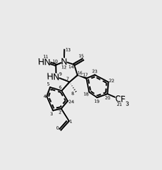 C=Cc1cccc([C@@]2(C)NC(=N)N(C)C(=C)[C@H]2c2ccc(C(F)(F)F)cc2)c1